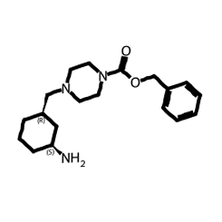 N[C@H]1CCC[C@@H](CN2CCN(C(=O)OCc3ccccc3)CC2)C1